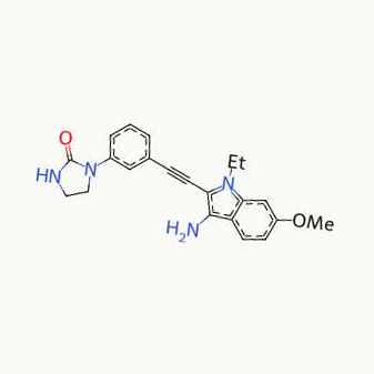 CCn1c(C#Cc2cccc(N3CCNC3=O)c2)c(N)c2ccc(OC)cc21